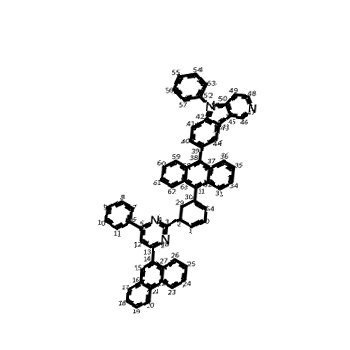 C1=CC(c2nc(-c3ccccc3)cc(-c3cc4ccccc4c4ccccc34)n2)CC(c2c3ccccc3c(-c3ccc4c(c3)c3cnccc3n4-c3ccccc3)c3ccccc23)=C1